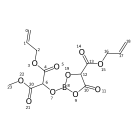 C=CCOC(=O)C(OB1OC(=O)C(C(=O)OCC=C)O1)C(=O)OC